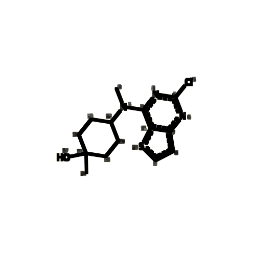 CN(c1nc(Cl)nc2ccsc12)C1CCC(C)(O)CC1